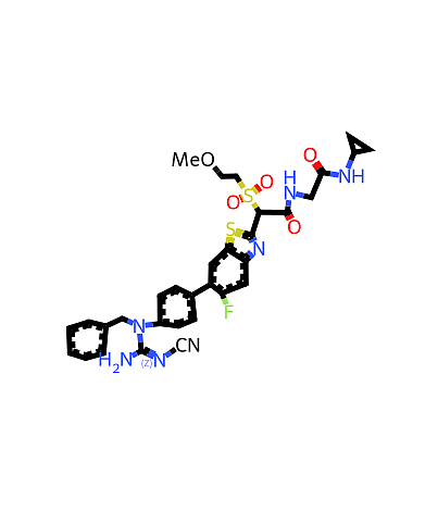 COCCS(=O)(=O)C(C(=O)NCC(=O)NC1CC1)c1nc2cc(F)c(-c3ccc(N(Cc4ccccc4)/C(N)=N\C#N)cc3)cc2s1